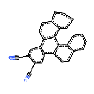 N#Cc1cc2c(cc1C#N)c1ccc3ccccc3c1c1c3ccccc3ccc21